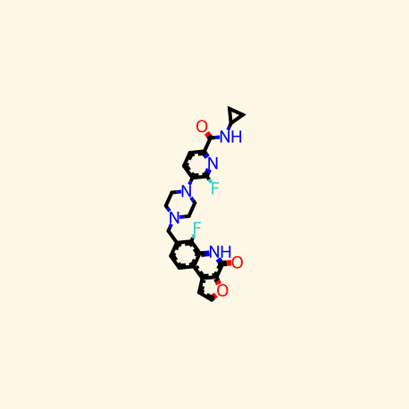 O=C(NC1CC1)c1ccc(N2CCN(Cc3ccc4c([nH]c(=O)c5occc54)c3F)CC2)c(F)n1